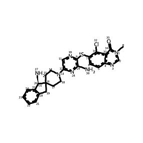 Cn1cnc2ccc(Sc3ncc(N4CCC5(CC4)Cc4ccccc4[C@H]5N)nc3N)c(Cl)c2c1=O